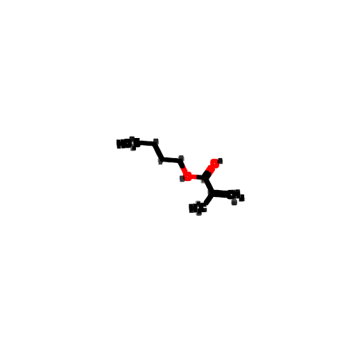 C=C(C)C(=O)OCCCS(=O)(=O)O